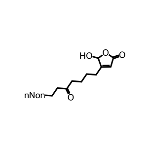 CCCCCCCCCCCC(=O)CCCCC1=CC(=O)OC1O